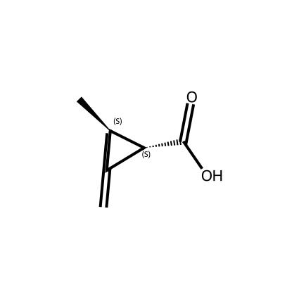 C=C1[C@@H](C(=O)O)[C@@H]1C